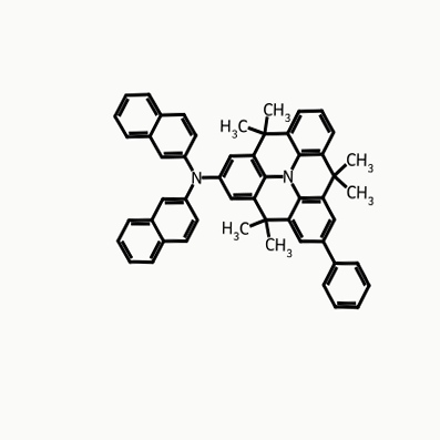 CC1(C)c2cccc3c2N2c4c1cc(-c1ccccc1)cc4C(C)(C)c1cc(N(c4ccc5ccccc5c4)c4ccc5ccccc5c4)cc(c12)C3(C)C